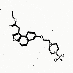 CCOC(=O)Cc1coc2ccc3cc(OCCN4CCN(S(C)(=O)=O)CC4)ccc3c12